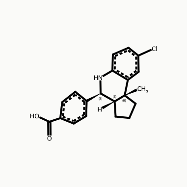 C[C@@]12CCC[C@@H]1[C@@H](c1ccc(C(=O)O)cc1)Nc1ccc(Cl)cc12